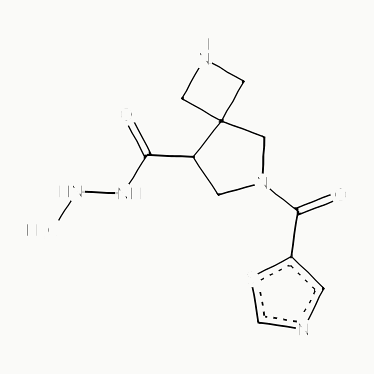 CNNC(=O)C1CN(C(=O)c2cncs2)CC12CNC2